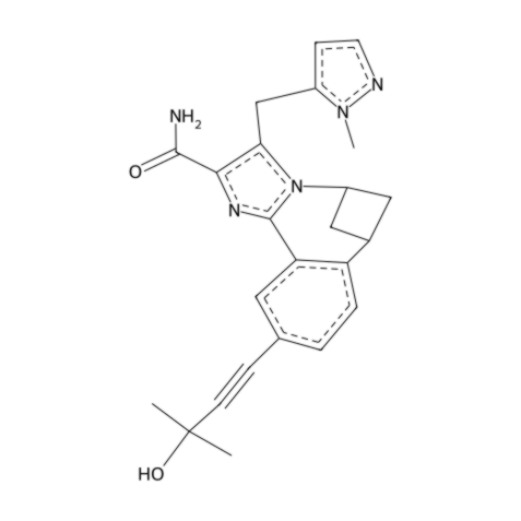 Cn1nccc1Cc1c(C(N)=O)nc2n1C1CC(C1)c1ccc(C#CC(C)(C)O)cc1-2